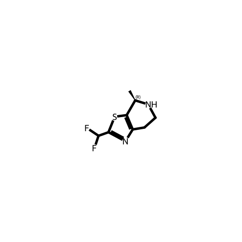 C[C@H]1NCCc2nc(C(F)F)sc21